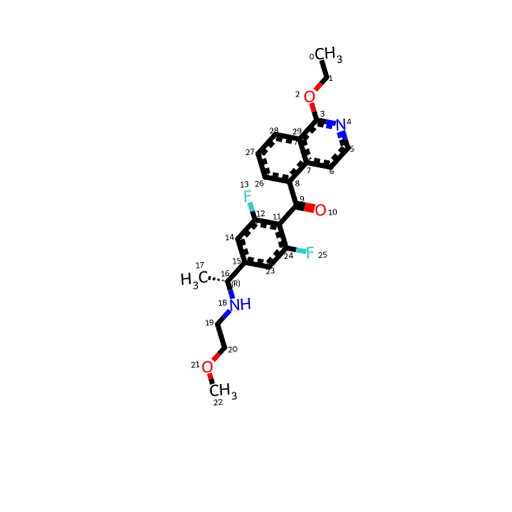 CCOc1nccc2c(C(=O)c3c(F)cc([C@@H](C)NCCOC)cc3F)cccc12